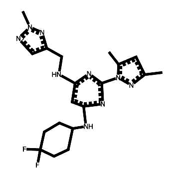 Cc1cc(C)n(-c2nc(NCc3cnn(C)n3)cc(NC3CCC(F)(F)CC3)n2)n1